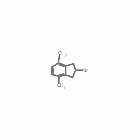 Cc1ccc(C)c2c1CC(Br)C2